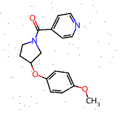 COc1ccc(OC2CCN(C(=O)c3ccncc3)C2)cc1